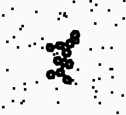 c1ccc(-c2cc(-c3ccccc3)cc(-c3c4ccccc4c(-c4ccc5c(c4)c4cc(-c6ccccc6)ccc4c4cc6c(cc54)oc4ccccc46)c4ccccc34)c2)cc1